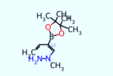 C=C/C(=C\N(C)N)B1OC(C)(C)C(C)(C)O1